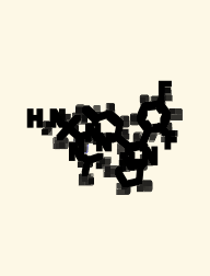 C=C1C=CC(c2c(-c3ccc(F)cc3F)nc3n2CCC3)=NN1/C(=N\C(C)C)C(C)(C)N